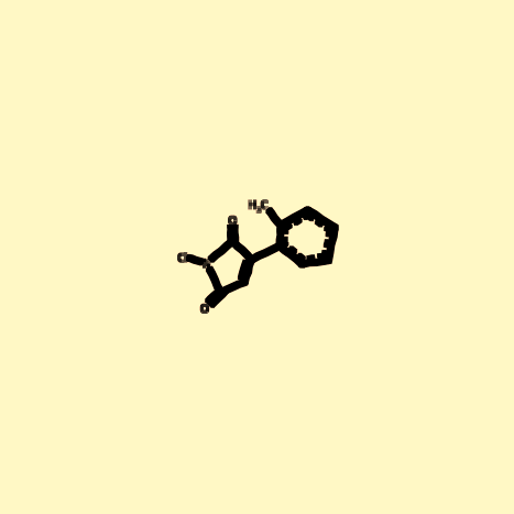 Cc1ccccc1C1=CC(=O)N(Cl)C1=O